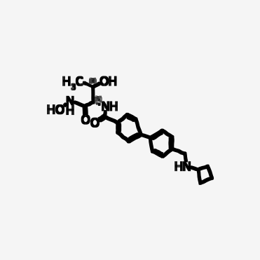 C[C@@H](O)[C@H](NC(=O)c1ccc(-c2ccc(CNC3CCC3)cc2)cc1)C(=O)NO